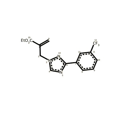 C=C(Cn1cnc(-c2cccc(C(F)(F)F)c2)n1)C(=O)OCC